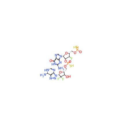 Nc1nc2c(ncn2[C@@H]2O[C@H](CO[PH](=O)S)[C@@H](F)[C@H]2OP(=O)(S)OC[C@H]2O[C@@H](n3nnc4c3N=CNC4N)C(F)(F)[C@@H]2O)c(=O)[nH]1